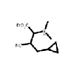 CCOC(=O)C(C(C#N)CC1CC1)[SiH](C)C